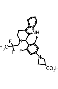 CC(F)(F)CN1CCc2c([nH]c3ccccc23)C1c1c(F)cc(N2CC(C(=O)O)C2)cc1F